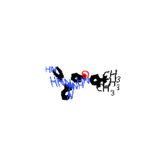 Cc1cc(NC(=O)c2cccc(Nn3nc(NC4CCCNC4)c4cccnc43)c2)ccc1C(C)C